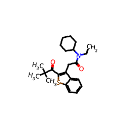 CCN(C(=O)Cc1c(C(=O)C(C)(C)C)sc2ccccc12)C1CCCCC1